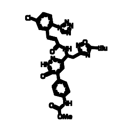 COC(=O)Nc1ccc(-c2cc(C(Cc3noc(C(C)(C)C)n3)NC(=O)C=Cc3cc(Cl)ccc3-n3cnnn3)n[nH]c2=O)cc1